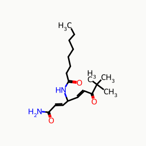 CCCCCCCC(=O)NC(/C=C/C(N)=O)/C=C/C(=O)C(C)(C)C